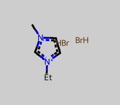 Br.Br.CC[n+]1ccn(C)c1